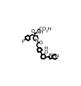 O=C(O)CNC(=O)C1(Cc2ccc(F)cc2)CCN(C(=O)Cc2ccc(-c3cccc(-c4cc5ccncc5[nH]4)c3O)cc2)CC1